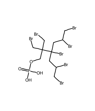 O=P(O)(O)OCC(CBr)(CBr)C(Br)(CC(Br)CBr)CC(Br)CBr